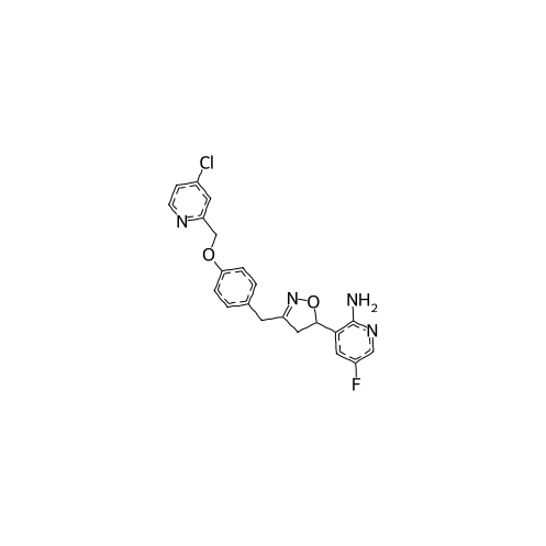 Nc1ncc(F)cc1C1CC(Cc2ccc(OCc3cc(Cl)ccn3)cc2)=NO1